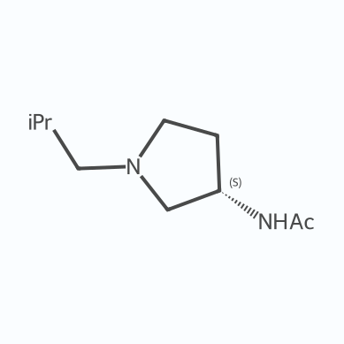 CC(=O)N[C@H]1CCN(CC(C)C)C1